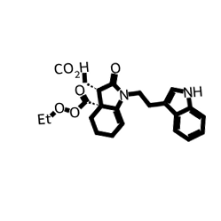 CCOOC(=O)[C@@]12CCCC=C1N(CCc1c[nH]c3ccccc13)C(=O)[C@H]2CC(=O)O